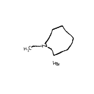 Br.CN1CCCCC1